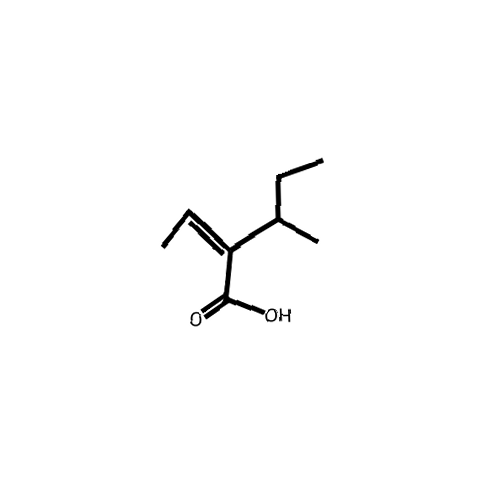 CC=C(C(=O)O)C(C)CC